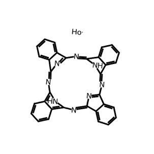 [Ho].c1ccc2c(c1)-c1nc-2nc2[nH]c(nc3nc(nc4[nH]c(n1)c1ccccc41)-c1ccccc1-3)c1ccccc21